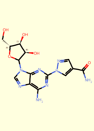 NC(=O)c1cnn(-c2nc(N)c3ncn(C4O[C@H](CO)[C@@H](O)[C@H]4O)c3n2)c1